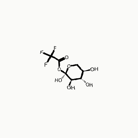 O=C(O[C@@]1(O)OC[C@@H](O)[C@H](O)[C@H]1O)C(F)(F)F